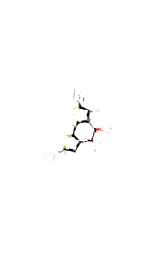 O=C1C(=O)c2cc(Br)sc2-c2sc(Br)cc21